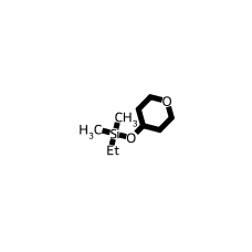 CC[Si](C)(C)OC1CCOCC1